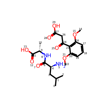 CC(C)C[C@H](N)C(=O)N[C@@H](C)C(=O)O.COc1cccc(OC)c1C(=O)CC(=O)O